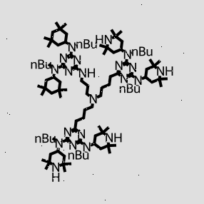 CCCCN(c1nc(CCCCN(CCCCc2nc(N(CCCC)C3CC(C)(C)NC(C)(C)C3)nc(N(CCCC)C3CC(C)(C)NC(C)(C)C3)n2)CCCNc2nc(N(CCCC)C3CC(C)(C)CC(C)(C)C3)nc(N(CCCC)C3CC(C)(C)CC(C)(C)C3)n2)nc(N(CCCC)C2CC(C)(C)NC(C)(C)C2)n1)C1CC(C)(C)NC(C)(C)C1